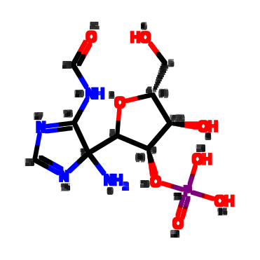 NC1(C2O[C@H](CO)[C@@H](O)[C@H]2OP(=O)(O)O)N=CN=C1NC=O